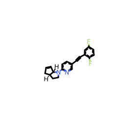 Fc1ccc(F)c(C#Cc2ccc(N3CC[C@H]4CC=C[C@@H]43)nc2)c1